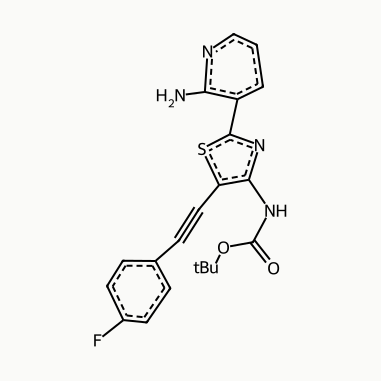 CC(C)(C)OC(=O)Nc1nc(-c2cccnc2N)sc1C#Cc1ccc(F)cc1